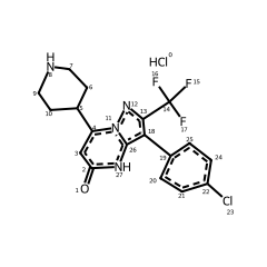 Cl.O=c1cc(C2CCNCC2)n2nc(C(F)(F)F)c(-c3ccc(Cl)cc3)c2[nH]1